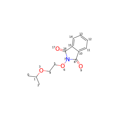 CC(C)OCCON1C(=O)c2ccccc2C1=O